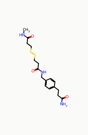 CNC(=O)CCSSCCC(=O)NCc1ccc(CCC(N)=O)cc1